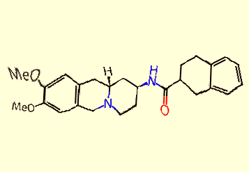 COc1cc2c(cc1OC)CN1CC[C@H](NC(=O)C3CCc4ccccc4C3)C[C@H]1C2